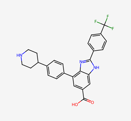 O=C(O)c1cc(-c2ccc(C3CCNCC3)cc2)c2nc(-c3ccc(C(F)(F)F)cc3)[nH]c2c1